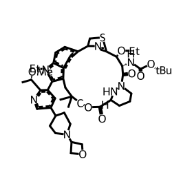 CCO[C@@H]1C2=NC(CS2)c2ccc3c(c2)c(c(-c2cc(C4CCN(C5COC5)CC4)cnc2[C@H](C)OC)n3CC)CC(C)(C)COC(=O)[C@@H]2CCCN(N2)C(=O)[C@H]1NC(=O)OC(C)(C)C